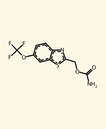 NC(=O)OCc1nc2ccc(OC(F)(F)F)cc2s1